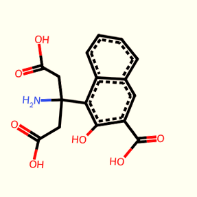 NC(CC(=O)O)(CC(=O)O)c1c(O)c(C(=O)O)cc2ccccc12